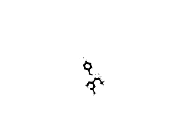 COc1ccc(Cn2nnc(C(F)(F)F)c2-c2ccnc(CO)c2)cc1